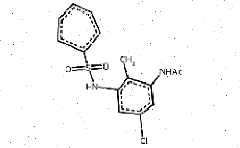 CC(=O)Nc1cc(Cl)cc(NS(=O)(=O)c2ccccc2)c1C